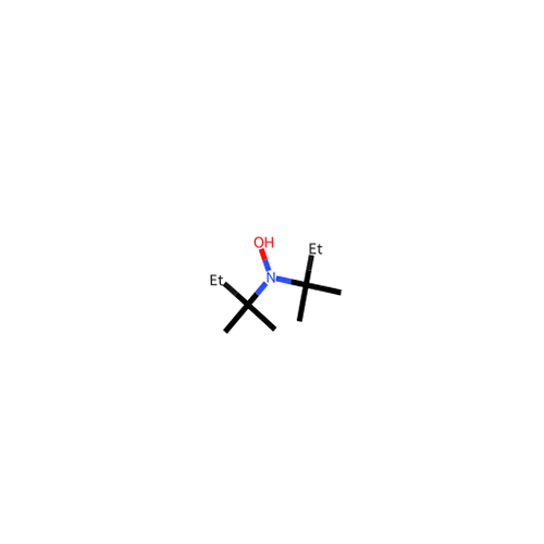 CCC(C)(C)N(O)C(C)(C)CC